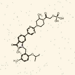 Cc1ccc(OC(F)F)c(Cn2c3cc(-c4cnc(N5CCN(C(=O)COP(=O)(O)O)C(C)C5)nc4)ccc3c(=O)n2C)c1